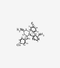 Nc1ncnc(N2CCC(N)CC2Cc2ccc(Cl)cc2)c1-c1ccc(F)cc1